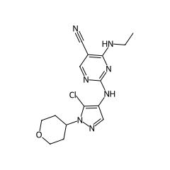 CCNc1nc(Nc2cnn(C3CCOCC3)c2Cl)ncc1C#N